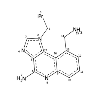 CC(C)Cn1cnc2c(N)nc3cccc(CN)c3c21